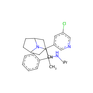 CC(C)NC(C)(CN1C2CCC1CC(C#N)(c1cncc(Cl)c1)C2)c1ccccc1